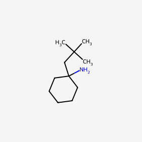 CC(C)(C)CC1(N)CCCCC1